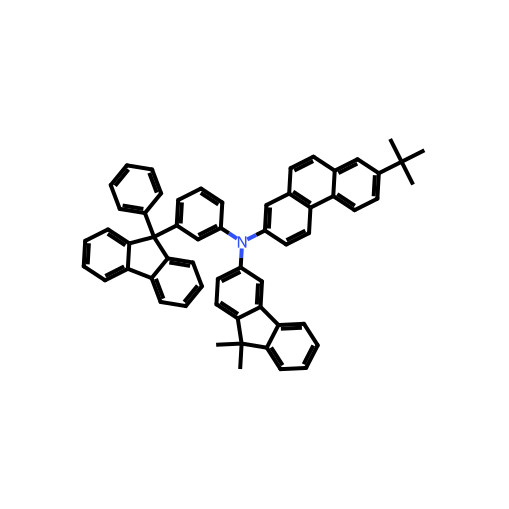 CC(C)(C)c1ccc2c(ccc3cc(N(c4cccc(C5(c6ccccc6)c6ccccc6-c6ccccc65)c4)c4ccc5c(c4)-c4ccccc4C5(C)C)ccc32)c1